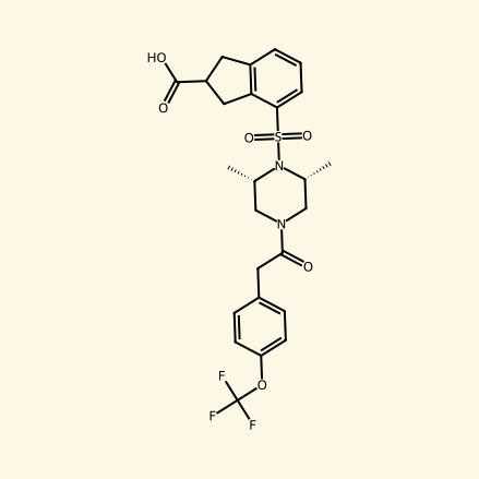 C[C@@H]1CN(C(=O)Cc2ccc(OC(F)(F)F)cc2)C[C@H](C)N1S(=O)(=O)c1cccc2c1CC(C(=O)O)C2